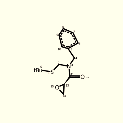 CC(C)(C)SCN(Cc1ccccc1)C(=O)[C@H]1CO1